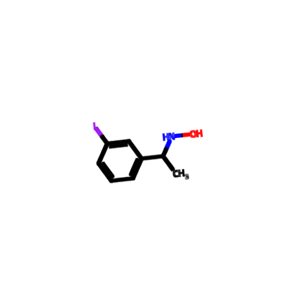 CC(NO)c1cccc(I)c1